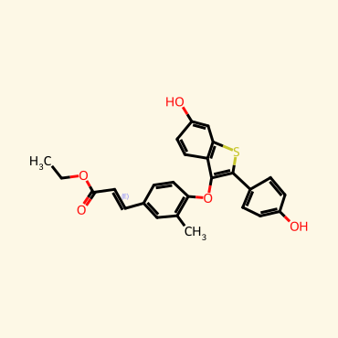 CCOC(=O)/C=C/c1ccc(Oc2c(-c3ccc(O)cc3)sc3cc(O)ccc23)c(C)c1